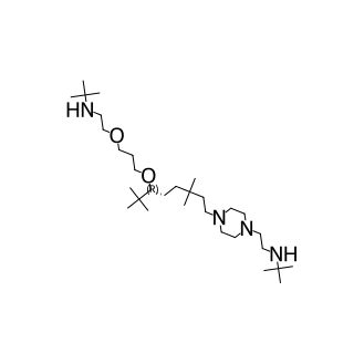 CC(C)(CC[C@@H](OCCCOCCNC(C)(C)C)C(C)(C)C)CCN1CCN(CCNC(C)(C)C)CC1